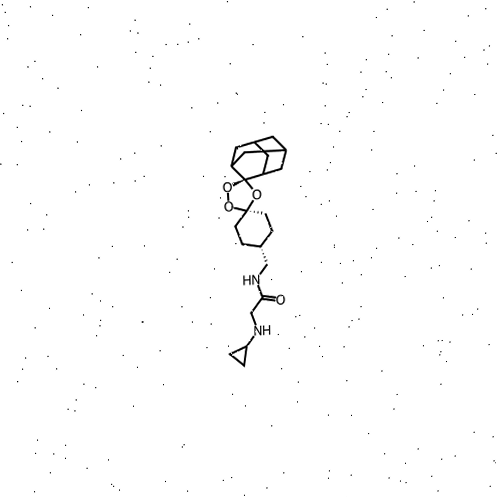 O=C(CNC1CC1)NC[C@H]1CC[C@]2(CC1)OO[C@]1(O2)C2CC3CC(C2)CC1C3